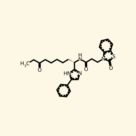 CCC(=O)CCCCC[C@H](NC(=O)CCn1c(=O)sc2ccccc21)c1ncc(-c2ccccc2)[nH]1